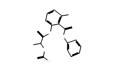 CCC(OC(N)=O)C(=O)Nc1cccc(Cl)c1C(=O)Nc1ccccc1